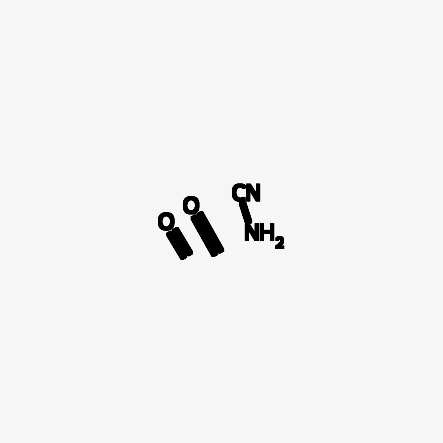 C=O.C=O.N#CN